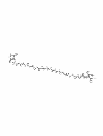 O=C(CCOCCOCCOCCOCCOCCOCCOCCOCCOCCC1OC1ON1C(=O)CCC1=O)ON1C(=O)CCC1=O